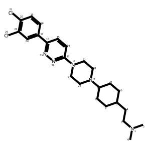 CN(C)CCC1CCC(N2CCN(c3ccc(-c4ccc(Cl)c(Cl)c4)nn3)CC2)CC1